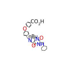 CCCCN1C(=O)[C@@H](CC2CCCCC2)NC(=O)C12CCN(Cc1ccc(Oc3ccc(C(=O)O)cc3)cc1)CC2